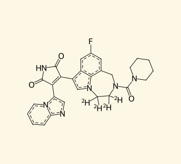 [2H]C1([2H])N(C(=O)N2CCCCC2)Cc2cc(F)cc3c(C4=C(c5cnc6ccccn56)C(=O)NC4=O)cn(c23)C1([2H])[2H]